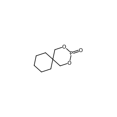 O=[P]1OCC2(CCCCC2)CO1